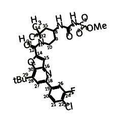 COS(=O)(=O)NC(=O)NC1CCN(C(=O)c2cc3nc(-c4ccc(Cl)c(F)c4)cc(C(C)(C)C)c3o2)C(C)(C)C1